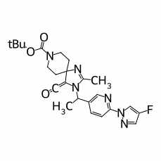 CC1=NC2(CCN(C(=O)OC(C)(C)C)CC2)C(=C=O)N1C(C)c1ccc(-n2cc(F)cn2)nc1